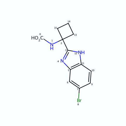 O=C(O)NC1(c2nc3cc(Br)ccc3[nH]2)CCC1